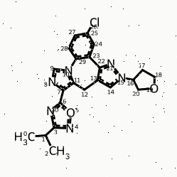 CC(C)c1noc(-c2ncn3c2Cc2cn(C4CCOC4)nc2-c2cc(Cl)ccc2-3)n1